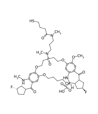 CCCCCOc1cc(C(=O)C2CC[C@H](F)C2)c(NC)cc1OCCP(=O)(CCOc1cc2c(cc1OC)C(=O)C1C[C@@H](F)C[C@H]1C(S(=O)(=O)O)N2)N(C)CCCN(C)C(=O)CCCS